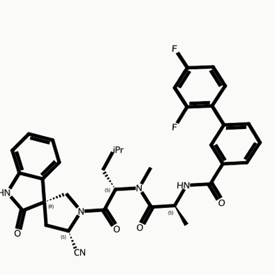 CC(C)C[C@@H](C(=O)N1C[C@]2(C[C@H]1C#N)C(=O)Nc1ccccc12)N(C)C(=O)[C@H](C)NC(=O)c1cccc(-c2ccc(F)cc2F)c1